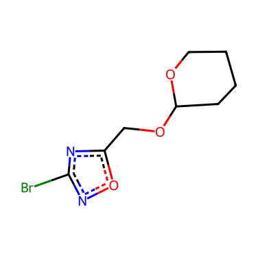 Brc1noc(COC2CCCCO2)n1